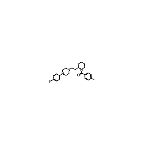 O=C(c1ccc(F)cc1)N1CCCCC1CCN1CCN(c2ccc(F)cc2)CC1